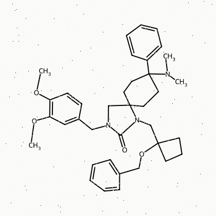 COc1ccc(CN2CC3(CCC(c4ccccc4)(N(C)C)CC3)N(CC3(OCc4ccccc4)CCC3)C2=O)cc1OC